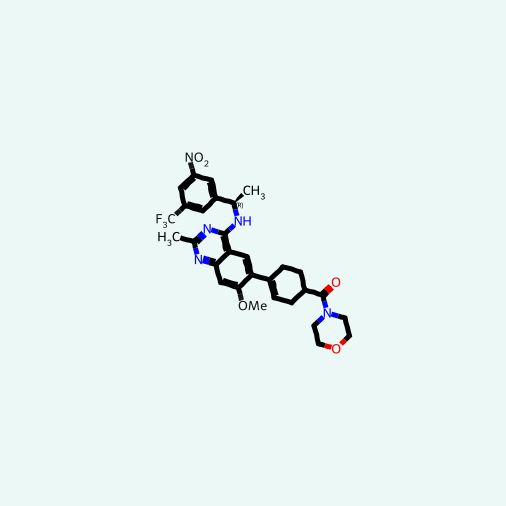 COc1cc2nc(C)nc(N[C@H](C)c3cc([N+](=O)[O-])cc(C(F)(F)F)c3)c2cc1C1=CCC(C(=O)N2CCOCC2)CC1